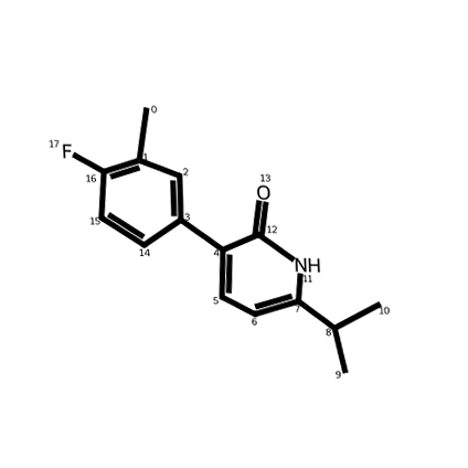 Cc1cc(-c2ccc(C(C)C)[nH]c2=O)ccc1F